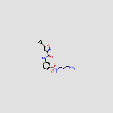 NCCCNS(=O)(=O)c1cccc(NC(=O)c2cc(C3CC3)on2)c1